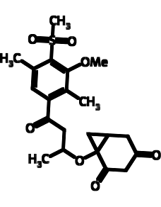 COc1c(C)c(C(=O)CC(C)OC23CC2CC(=O)CC3=O)cc(C)c1S(C)(=O)=O